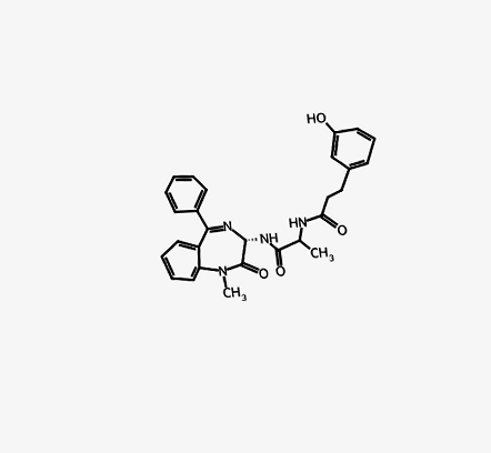 CC(NC(=O)CCc1cccc(O)c1)C(=O)N[C@H]1N=C(c2ccccc2)c2ccccc2N(C)C1=O